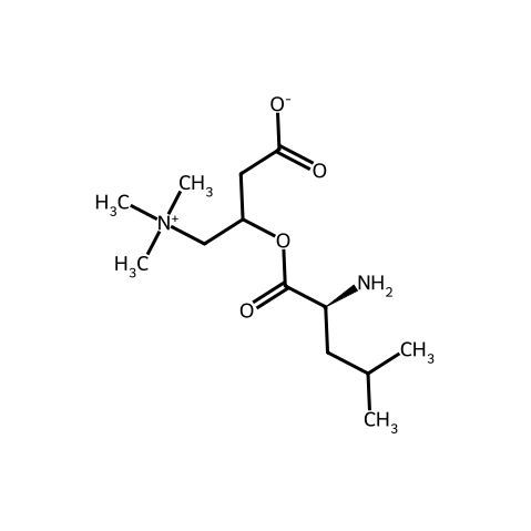 CC(C)C[C@H](N)C(=O)OC(CC(=O)[O-])C[N+](C)(C)C